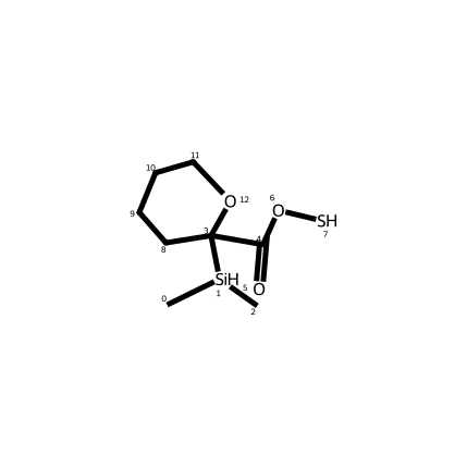 C[SiH](C)C1(C(=O)OS)CCCCO1